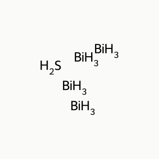 S.[BiH3].[BiH3].[BiH3].[BiH3]